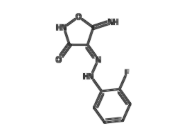 N=C1ONC(=O)/C1=N\Nc1ccccc1F